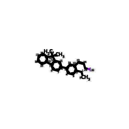 CCc1ccc(-c2ccc3c(c2)C(C)(C)c2ccccc2-3)cc1/C=C\CI